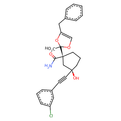 NC(=O)[C@]1(C2(C(=O)O)OC=C(Cc3ccccc3)O2)CCC[C@](O)(C#Cc2cccc(Cl)c2)C1